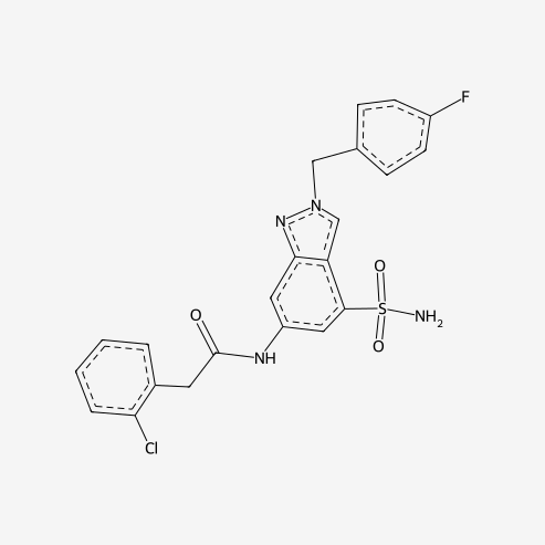 NS(=O)(=O)c1cc(NC(=O)Cc2ccccc2Cl)cc2nn(Cc3ccc(F)cc3)cc12